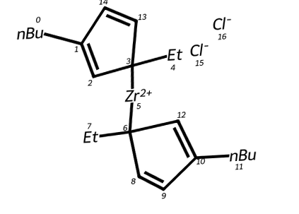 CCCCC1=C[C](CC)([Zr+2][C]2(CC)C=CC(CCCC)=C2)C=C1.[Cl-].[Cl-]